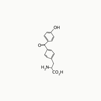 NC(Cc1ccc(C(=O)c2ccc(O)cc2)cc1)C(=O)O